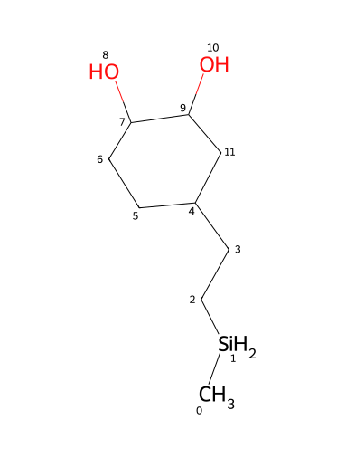 C[SiH2]CCC1CCC(O)C(O)C1